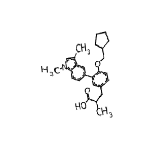 Cc1cn(C)c2ccc(-c3cc(CC(C)C(=O)O)ccc3OCC3CCCC3)cc12